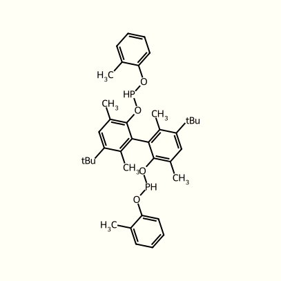 Cc1ccccc1OPOc1c(C)cc(C(C)(C)C)c(C)c1-c1c(C)c(C(C)(C)C)cc(C)c1OPOc1ccccc1C